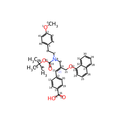 COc1ccc(CCN(C/C(=C/c2ccc(C(=O)O)cc2)COc2cccc3ccccc23)C(=O)OC(C)(C)C)cc1